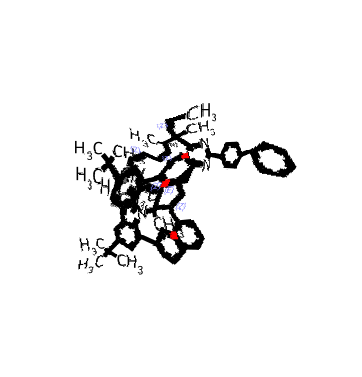 C=C/C=C\C(C)(/C(=C\C(=C/C)c1nc(-c2ccc(-c3ccccc3)cc2)nc(C(C)(/C=C\C)[C@H](C)/C=C\C=C/C)n1)c1ccccc1)n1c2c(-c3ccccc3)cc(C(C)(C)C)cc2c2cc(C(C)(C)C)cc(-c3ccccc3)c21